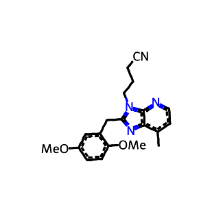 COc1ccc(OC)c(Cc2nc3c(C)ccnc3n2CCCC#N)c1